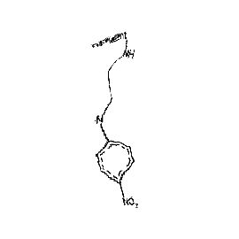 CCCCCN[CH]C[N]c1ccc([N+](=O)[O-])cc1